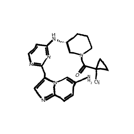 N#CC1(C(=O)N2CCC[C@@H](Nc3ccnc(-c4cnc5ccc(N)cn45)n3)C2)CC1